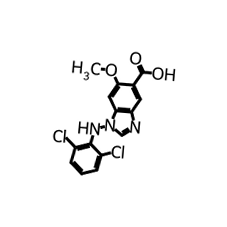 COc1cc2c(cc1C(=O)O)ncn2Nc1c(Cl)cccc1Cl